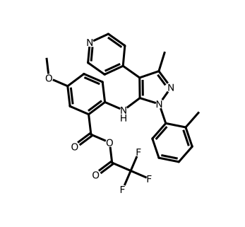 COc1ccc(Nc2c(-c3ccncc3)c(C)nn2-c2ccccc2C)c(C(=O)OC(=O)C(F)(F)F)c1